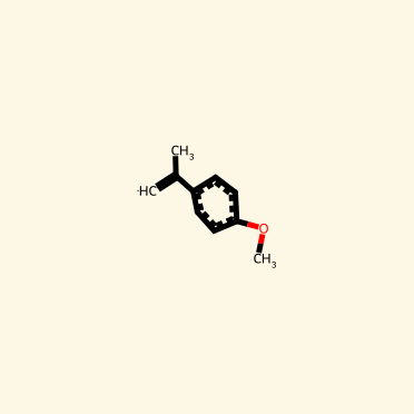 [CH]=C(C)c1ccc(OC)cc1